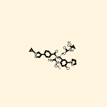 CNC(=N)N(C(=O)c1ccc(-c2cnn(C3CC3)c2)cc1)[C@H](COC(=O)NC1(C)CC1)c1ccc(Cl)c(-n2cccn2)c1